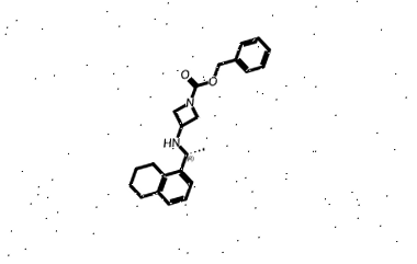 C[C@@H](NC1CN(C(=O)OCc2ccccc2)C1)c1cccc2c1CCCC2